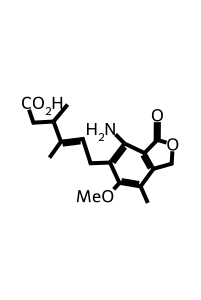 COc1c(C)c2c(c(N)c1C/C=C(\C)C(C)CC(=O)O)C(=O)OC2